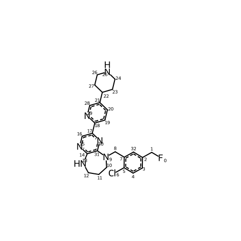 FCc1ccc(Cl)c(CN2CCCNc3ncc(-c4ccc(C5CCNCC5)cn4)nc32)c1